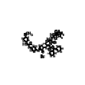 COc1ccc(NC(=O)C[n+]2ccc(CN3CC/C(=C\C4=C(C(=O)OC(c5ccccc5)c5ccccc5)N5C(=O)[C@@H](NC(=O)OC(C)(C)C)[C@H]5SC4)C3=O)cc2)cc1.[Br-]